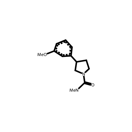 CNC(=O)N1CCC(c2cccc(OC)c2)C1